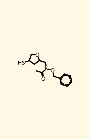 CC(=O)N(CC1CC(S)CO1)OCc1ccccc1